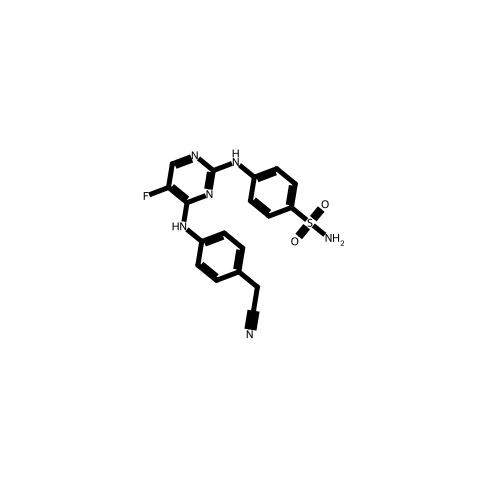 N#CCc1ccc(Nc2nc(Nc3ccc(S(N)(=O)=O)cc3)ncc2F)cc1